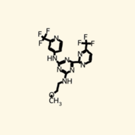 COCCNc1nc(Nc2ccnc(C(F)(F)F)c2)nc(-c2nccc(C(F)(F)F)n2)n1